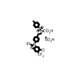 CCc1nc2cc(C(F)(F)F)c(Cl)cc2n1-c1ccc(CCN(C(=O)O)S(=O)(=O)c2ccc(C)cc2)cc1.CS(=O)(=O)O